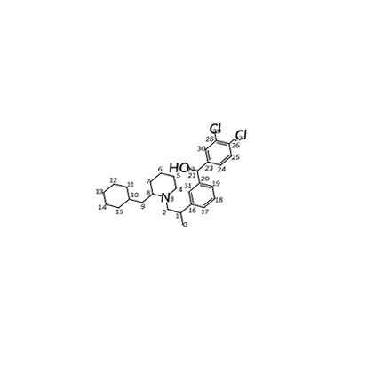 CC(CN1CCCCC1CC1CCCCC1)c1cccc(C(O)c2ccc(Cl)c(Cl)c2)c1